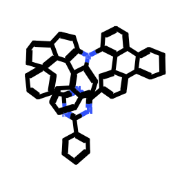 c1ccc(-c2nc(-c3ccccc3)nc(-c3ccc4c5ccccc5c5cccc(-n6c7ccc8ccccc8c7c7c8ccccc8ccc76)c5c4c3)n2)cc1